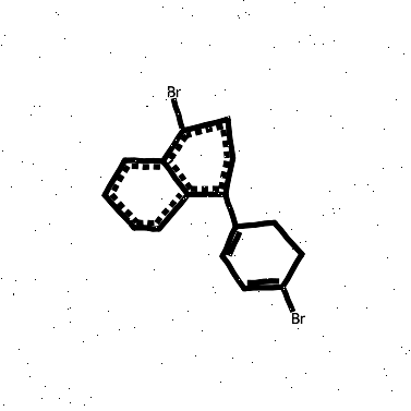 BrC1=CC=C(c2ccc(Br)c3ccccc23)CC1